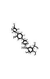 CCc1cc(C)c(Nc2nc(-c3ccc(-n4cnc(C)c4)c(F)c3)cs2)cc1C(C)C